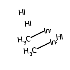 I.I.I.[CH3][In].[CH3][In]